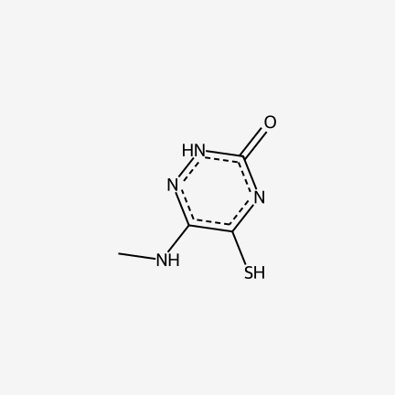 CNc1n[nH]c(=O)nc1S